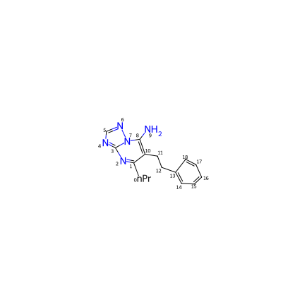 CCCc1nc2ncnn2c(N)c1CCc1ccccc1